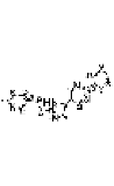 c1ccc(-c2ncc(C3CN=C(CCc4cccnc4)N3)cn2)cc1